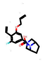 C=CCOc1cc(N2CC3CCC(C2)N3C(=O)O)cc(F)c1C=C